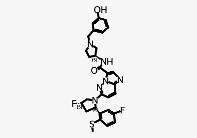 CSc1ccc(F)cc1[C@H]1C[C@H](F)CN1c1ccc2ncc(C(=O)N[C@H]3CCN(Cc4cccc(O)c4)C3)n2n1